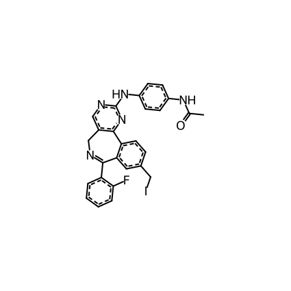 CC(=O)Nc1ccc(Nc2ncc3c(n2)-c2ccc(CI)cc2C(c2ccccc2F)=NC3)cc1